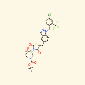 CC(C)(C)OC(=O)N1CC[C@@H](O)[C@H](N2C(=O)SC(=Cc3ccc4c(cnn4Cc4ccc(Cl)cc4C(F)(F)F)c3)C2=O)C1